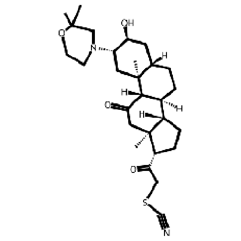 CC1(C)CN([C@H]2C[C@@]3(C)[C@@H](CC[C@H]4[C@@H]5CC[C@H](C(=O)CSC#N)[C@@]5(C)CC(=O)[C@@H]43)C[C@@H]2O)CCO1